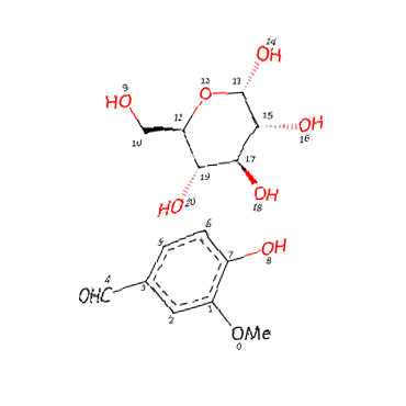 COc1cc(C=O)ccc1O.OC[C@H]1O[C@H](O)[C@H](O)[C@@H](O)[C@@H]1O